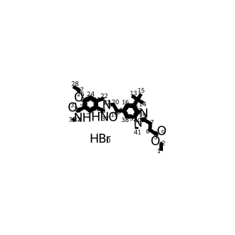 Br.CCOC(=O)CCc1nc2c(C(C)(C)C)cc(C(=O)CN3Cc4cc(OCC)c(C(=O)NC)cc4C3=N)cc2n1C